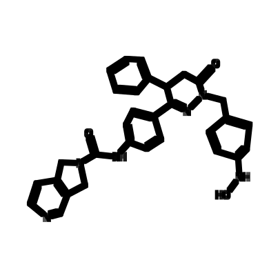 O=C(Nc1ccc(C2=NN(Cc3ccc(NO)cc3)C(=O)CC2c2ccccc2)cc1)N1Cc2ccncc2C1